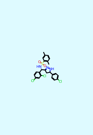 Cc1ccc(C)c(S(=O)(=O)N[C@H](C2=NNC(c3ccc(Cl)cc3)C2)c2ccc(Cl)cc2Cl)c1